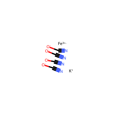 N#C[O-].N#C[O-].N#C[O-].N#C[O-].[Fe+3].[K+]